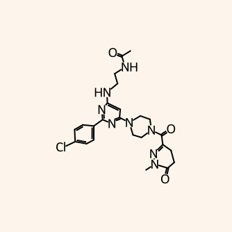 CC(=O)NCCNc1cc(N2CCN(C(=O)C3=NN(C)C(=O)CC3)CC2)nc(-c2ccc(Cl)cc2)n1